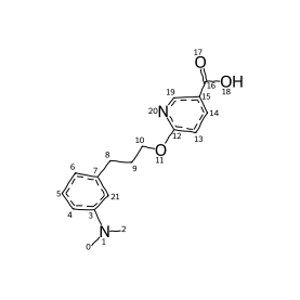 CN(C)c1cccc(CCCOc2ccc(C(=O)O)cn2)c1